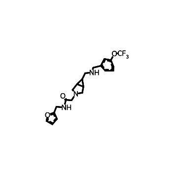 O=C(CN1CC2C(CNCc3cccc(OC(F)(F)F)c3)C2C1)NCc1ccco1